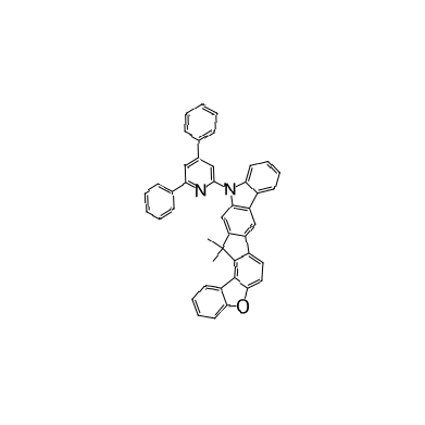 CC1(C)c2cc3c(cc2-c2ccc4oc5ccccc5c4c21)c1ccccc1n3-c1cc(-c2ccccc2)cc(-c2ccccc2)n1